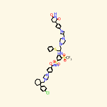 O=C1CCC(c2ccc(N3CC(CN4CCN(CCC(CSc5ccccc5)Nc5ccc(S(=O)(=O)NC(=O)c6ccc(N7CCN(CC8=C(c9ccc(Cl)cc9)CCCCC8)CC7)cc6)cc5S(=O)(=O)C(F)(F)F)CC4)C3)cc2)C(=O)N1